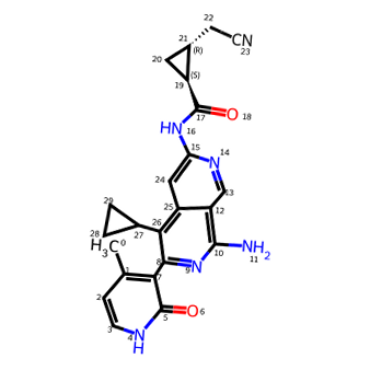 Cc1cc[nH]c(=O)c1-c1nc(N)c2cnc(NC(=O)[C@H]3C[C@@H]3CC#N)cc2c1C1CC1